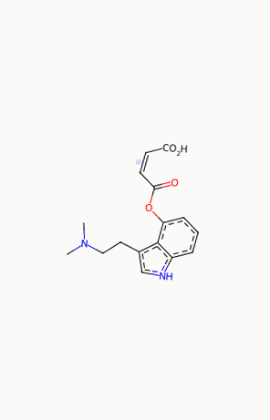 CN(C)CCc1c[nH]c2cccc(OC(=O)/C=C\C(=O)O)c12